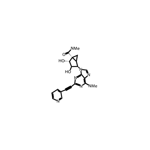 CNC(=O)[C@]12CC1[C@@H](n1cnc3c(NC)nc(C#Cc4cccnc4)nc31)C(O)[C@@H]2O